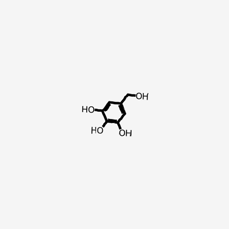 OCc1cc(O)c(O)c(O)c1